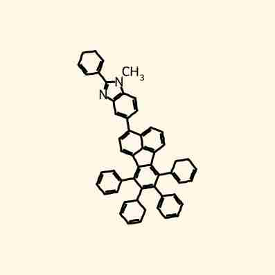 Cn1c(C2=CCCC=C2)nc2cc(-c3ccc4c5c(cccc35)-c3c(C5=CC=CCC5)c(-c5ccccc5)c(C5C=CC=CC5)c(-c5ccccc5)c3-4)ccc21